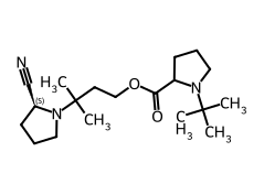 CC(C)(C)N1CCCC1C(=O)OCCC(C)(C)N1CCC[C@H]1C#N